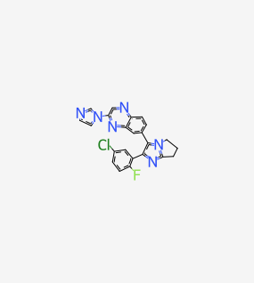 Fc1ccc(Cl)cc1-c1nc2n(c1-c1ccc3ncc(-n4ccnc4)nc3c1)CCC2